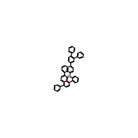 c1ccc(-c2ccc(-c3ccccc3N(c3ccc(-c4ccc(-c5ccccc5)c(-c5ccccc5)c4)cc3)c3ccccc3-c3ccccc3)cc2)cc1